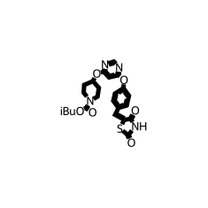 CC(C)COC(=O)N1CCC(Oc2cc(Oc3ccc(C=C4SC(=O)NC4=O)cc3)ncn2)CC1